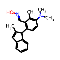 CC1=Cc2ccccc2C1c1ccc(N(C)C)c(C)c1C=NO